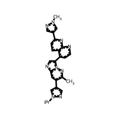 Cc1nn2c(-c3ccnc4nc(-c5cnn(C)c5)ccc34)cnc2cc1-c1cnn(C(C)C)c1